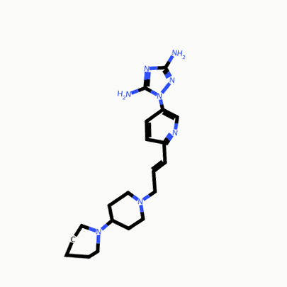 Nc1nc(N)n(-c2ccc(C=CCN3CCC(N4CCCCC4)CC3)nc2)n1